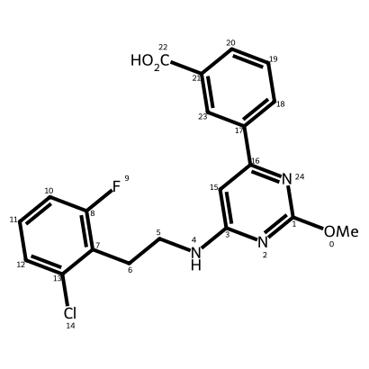 COc1nc(NCCc2c(F)cccc2Cl)cc(-c2cccc(C(=O)O)c2)n1